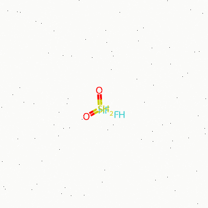 F.F.O=[SH2]=O